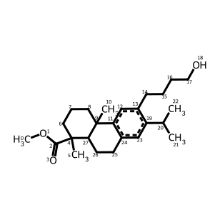 COC(=O)C1(C)CCCC2(C)c3cc(CCCCO)c(C(C)C)cc3CCC12